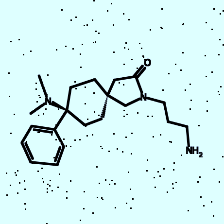 CN(C)[C@]1(c2ccccc2)CC[C@]2(CC1)CC(=O)N(CCCN)C2